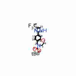 CC(C)(C)OC(=O)N1CCOc2cc(-c3nc(C(F)(F)F)c[nH]3)ccc2C1